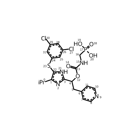 CC(C)c1nc(C(Cc2ccncc2)OC(=O)NCP(=O)(O)O)[nH]c1Sc1cc(Cl)cc(Cl)c1